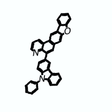 c1ccc(-n2c3ccccc3c3cc(-c4cc5cc6oc7ccccc7c6cc5c5cccnc45)ccc32)cc1